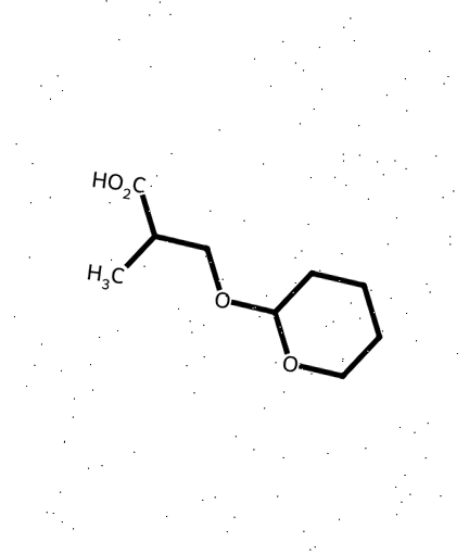 CC(COC1CCCCO1)C(=O)O